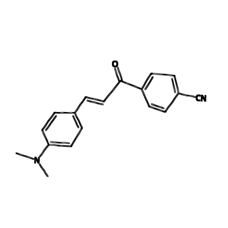 CN(C)c1ccc(C=CC(=O)c2ccc(C#N)cc2)cc1